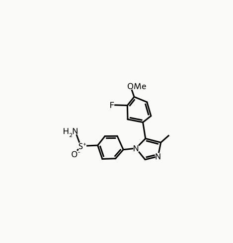 COc1ccc(-c2c(C)ncn2-c2ccc([S+](N)[O-])cc2)cc1F